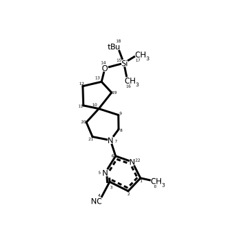 Cc1cc(C#N)nc(N2CCC3(CCC(O[Si](C)(C)C(C)(C)C)C3)CC2)n1